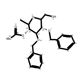 CC1OC(CO)[C@H](OCc2ccccc2)C(OCc2ccccc2)[C@@H]1OC(=O)C(C)(C)C